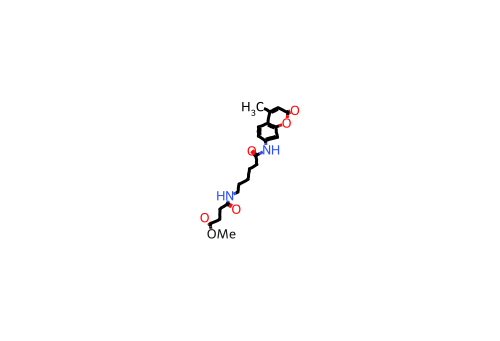 COC(=O)CCC(=O)NCCCCCC(=O)Nc1ccc2c(C)cc(=O)oc2c1